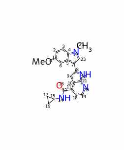 COc1ccc2c(c1)c(-c1cc3c(C(=O)NC4CC4)ccnc3[nH]1)cn2C